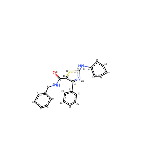 O=C(NCc1ccccc1)c1sc(Nc2ccccc2)nc1-c1ccccc1